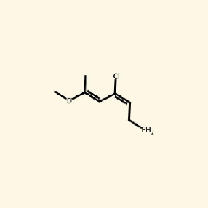 CO/C(C)=C/C(Cl)=C\CP